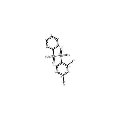 O=S(=O)(c1ccccc1)S(=O)(=O)c1ccc(F)cc1F